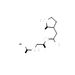 CC(CC1CCNC1=O)NC(=O)CNC(=O)OC(C)(C)C